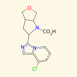 O=C(O)N1C(c2ncc3c(Cl)cccn23)CC2COCC21